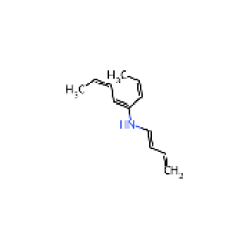 C=C/C=C/NC(/C=C\C)=C/C=C\C